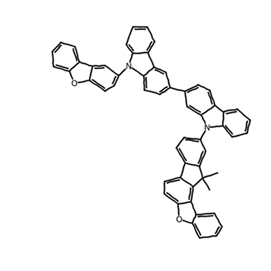 CC1(C)c2cc(-n3c4ccccc4c4ccc(-c5ccc6c(c5)c5ccccc5n6-c5ccc6oc7ccccc7c6c5)cc43)ccc2-c2ccc3oc4ccccc4c3c21